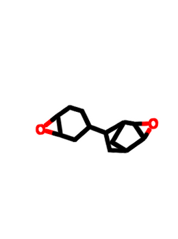 C1CC2OC2CC1C1CC2CC1C1OC21